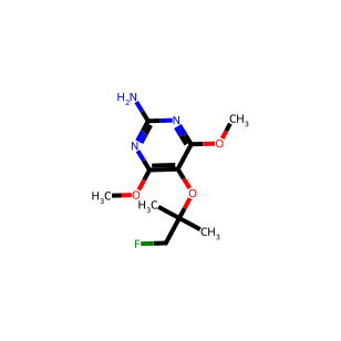 COc1nc(N)nc(OC)c1OC(C)(C)CF